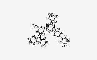 Brc1cc(-c2cc(-c3ccc(-c4cccnc4)cc3)nc(-c3ccncc3)n2)cc(-n2c3ccccc3c3ccccc32)c1